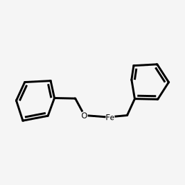 c1ccc(C[O][Fe][CH2]c2ccccc2)cc1